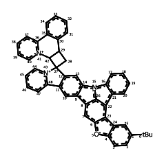 CC(C)(C)c1ccc2oc3cc4c5cc6c(cc5n5c7ccccc7c(c3c2c1)c45)C1(CC2c3ccccc3-c3cccc[n+]3C21)[n+]1ccccc1-6